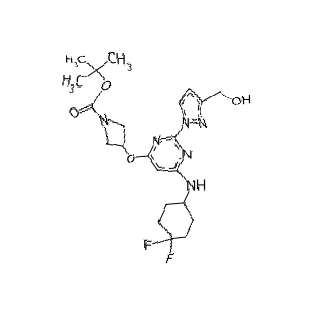 CC(C)(C)OC(=O)N1CC(Oc2cc(NC3CCC(F)(F)CC3)nc(-n3ccc(CO)n3)n2)C1